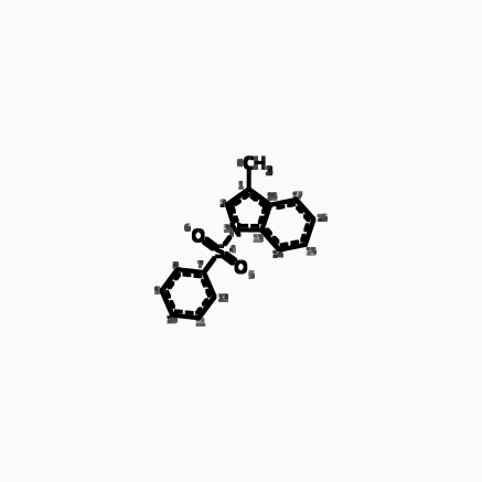 Cc1[c]n(S(=O)(=O)c2ccccc2)c2ccccc12